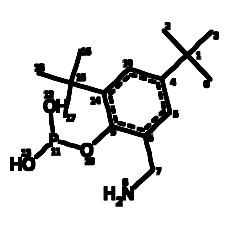 CC(C)(C)c1cc(CN)c(OP(O)O)c(C(C)(C)C)c1